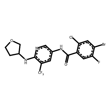 O=C(Nc1cnc(NC2CCOC2)c(C(F)(F)F)c1)c1cc(F)c(Br)cc1Cl